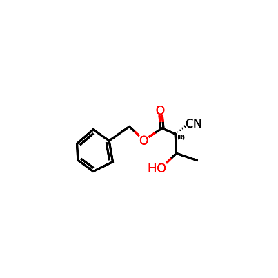 CC(O)[C@@H](C#N)C(=O)OCc1ccccc1